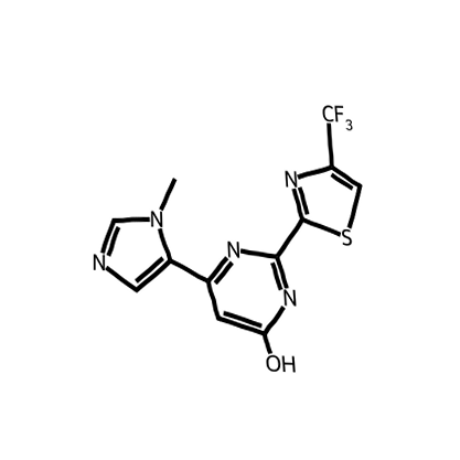 Cn1cncc1-c1cc(O)nc(-c2nc(C(F)(F)F)cs2)n1